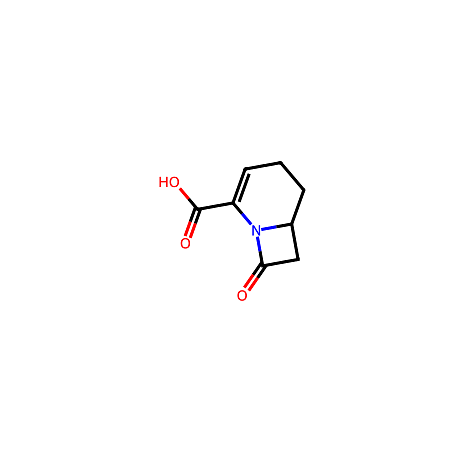 O=C(O)C1=CCCC2CC(=O)N12